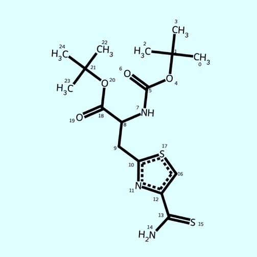 CC(C)(C)OC(=O)NC(Cc1nc(C(N)=S)cs1)C(=O)OC(C)(C)C